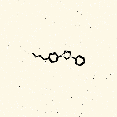 CCCCc1ccc(N2C=CN(c3ccccc3)C2)cc1